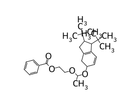 CC(OCCOC(=O)c1ccccc1)OC1C=CC2=C(C1)CC(C(C)(C)C)C2C(C)(C)C